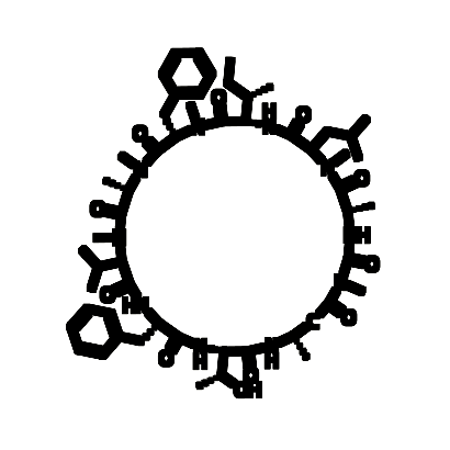 CC[C@H](C)[C@@H]1NC(=O)C(CC(C)C)N(C)C(=O)[C@H](C)NC(=O)N(C)C(=O)C[C@H](C)NC(=O)[C@H]([C@@H](C)O)NC(=O)[C@H](Cc2ccccc2)NC(=O)C(C(C)C)N(C)C(=O)[C@H](C)N(C)C(=O)[C@H](Cc2ccccc2)N(C)C1=O